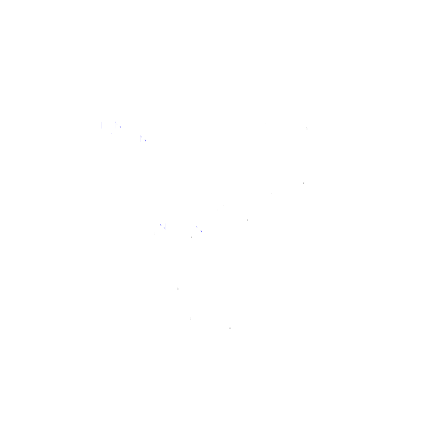 NNC(=O)C1=NN(c2ccccc2)C(Cc2ccc(C(F)(F)F)cc2)O1